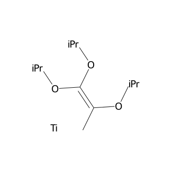 CC(OC(C)C)=C(OC(C)C)OC(C)C.[Ti]